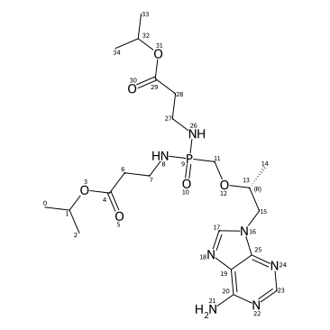 CC(C)OC(=O)CCNP(=O)(CO[C@H](C)Cn1cnc2c(N)ncnc21)NCCC(=O)OC(C)C